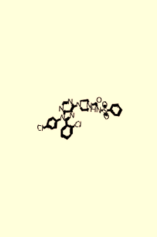 O=C(NS(=O)(=O)c1ccccc1)N1CCN(c2ncnc3c2nc(-c2ccccc2Cl)n3-c2ccc(Cl)cc2)CC1